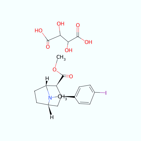 COC(=O)[C@H]1[C@@H](c2ccc(I)cc2)C[C@@H]2CC[C@H]1N2C.O=C(O)C(O)C(O)C(=O)O